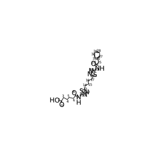 O=C(O)CCCCC(=O)Nc1nnc(CCCCc2nnc(NC(=O)Cc3ccccc3)s2)s1